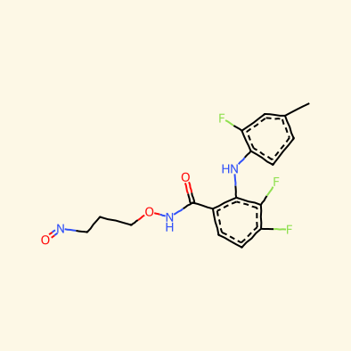 Cc1ccc(Nc2c(C(=O)NOCCCN=O)ccc(F)c2F)c(F)c1